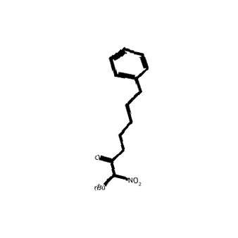 CCCCC(C(=O)CCCCCc1ccccc1)[N+](=O)[O-]